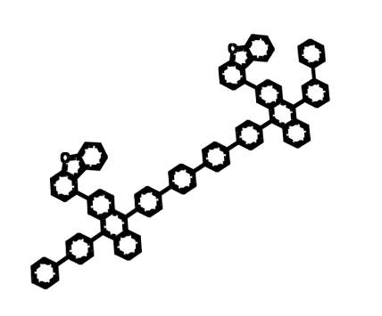 c1ccc(-c2ccc(-c3c4ccccc4c(-c4ccc(-c5ccc(-c6ccc(-c7ccc(-c8c9ccccc9c(-c9cccc(-c%10ccccc%10)c9)c9ccc(-c%10cccc%11oc%12ccccc%12c%10%11)cc89)cc7)cc6)cc5)cc4)c4ccc(-c5cccc6oc7ccccc7c56)cc34)cc2)cc1